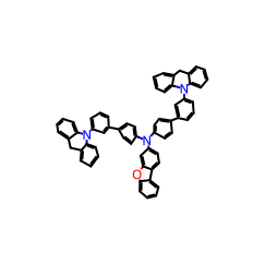 c1cc(-c2ccc(N(c3ccc(-c4cccc(N5c6ccccc6Cc6ccccc65)c4)cc3)c3ccc4c(c3)oc3ccccc34)cc2)cc(N2c3ccccc3Cc3ccccc32)c1